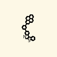 C1=CC2=CC=C3C=C(c4cccc(-c5ccc6c(c5)ncc5sc7ccccc7c56)c4)C=C4C=CC(=C1)C2C34